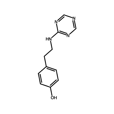 Oc1ccc(CCNc2ncncn2)cc1